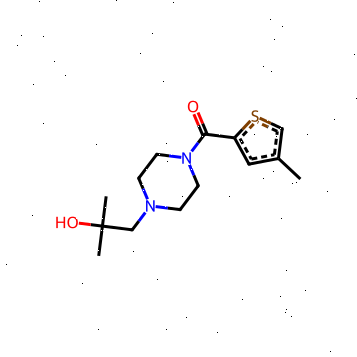 Cc1csc(C(=O)N2CCN(CC(C)(C)O)CC2)c1